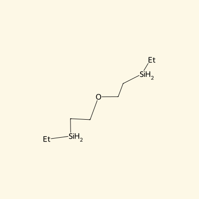 CC[SiH2]CCOCC[SiH2]CC